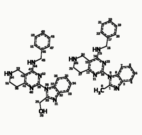 Cc1nc2ccccc2n1-c1nc2c(c(NCc3ccccc3)n1)CNCC2.OCc1nc2ccccc2n1-c1nc2c(c(NCc3ccccc3)n1)CNCC2